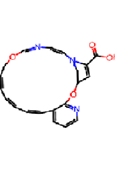 O=C(O)C1=CC2CN1C=CN=COCC=CC=CC=Cc1cccnc1O2